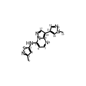 Cc1cc(Nc2ccnc3c(-c4cnn(C)c4)cnn23)sn1